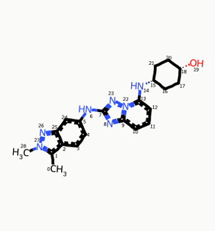 Cc1c2ccc(Nc3nc4cccc(N[C@H]5CC[C@@H](O)CC5)n4n3)cc2nn1C